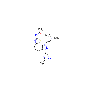 CC(=O)Nc1nc2c(s1)-c1c(c(-c3c[nH]c(C)n3)nn1CCN(C)C)CCC2